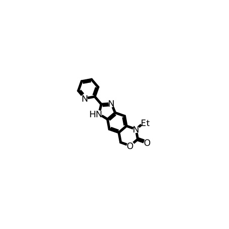 CCN1C(=O)OCc2cc3[nH]c(-c4ccccn4)nc3cc21